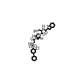 CC(C)CC(NC(=O)c1cc2ccccc2s1)C(=O)N1C[C@@H]2C[C@H]1CN2C(=O)CNS(=O)(=O)c1ccc(-c2ccccc2)cc1Cl